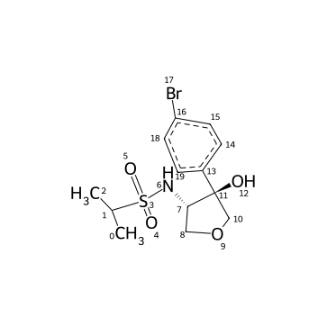 CC(C)S(=O)(=O)N[C@H]1COC[C@@]1(O)c1ccc(Br)cc1